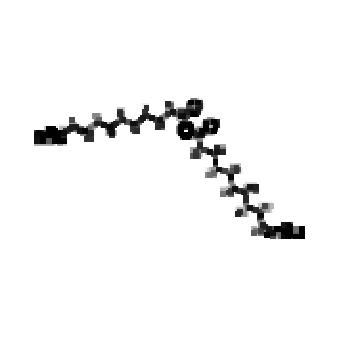 CCCCC=CCCCCCCCC(=O)OC(=O)CCCCCCCC=CCCCC